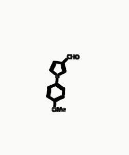 COc1ccc(-n2ccc(C=O)c2)cc1